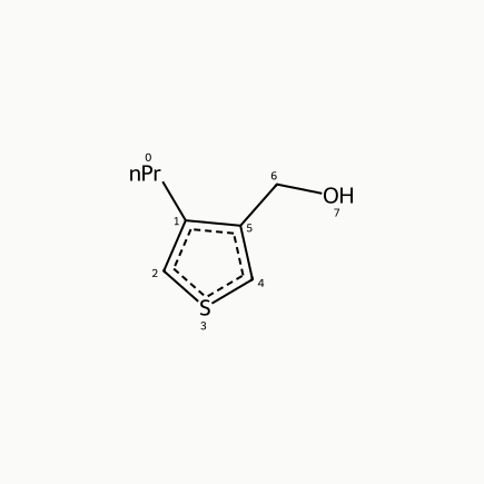 CCCc1cscc1CO